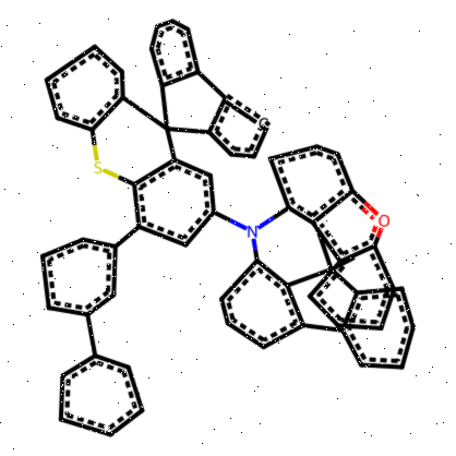 CC1(C)c2ccccc2-c2cccc(N(c3cc(-c4cccc(-c5ccccc5)c4)c4c(c3)C3(c5ccccc5S4)c4ccccc4-c4ccccc43)c3cccc4oc5ccccc5c34)c21